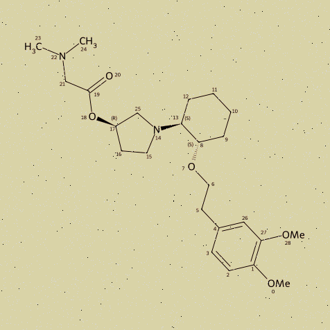 COc1ccc(CCO[C@H]2CCCC[C@@H]2N2CC[C@@H](OC(=O)CN(C)C)C2)cc1OC